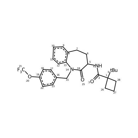 CC(C)(C)C1(C(=O)NC2CCc3ccccc3N(Cc3ccc(OC(F)(F)F)cc3)C2=O)CCC1